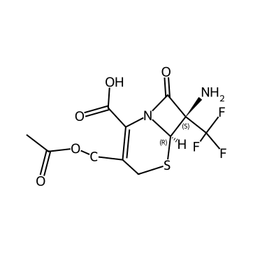 CC(=O)OCC1=C(C(=O)O)N2C(=O)[C@](N)(C(F)(F)F)[C@H]2SC1